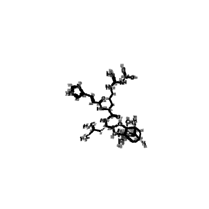 CC(C)C[C@H](NC(=O)[C@H](CCCNC(=N)N[N+](=O)[O-])NC(=O)/C=C/c1c[nH]cn1)B1O[C@@H]2C[C@@H]3C[C@@H](C3(C)C)[C@]2(C)O1